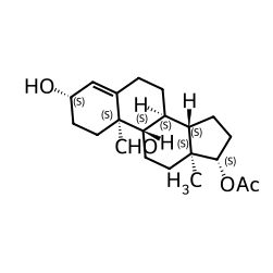 CC(=O)O[C@H]1CC[C@H]2[C@@H]3CCC4=C[C@@H](O)CC[C@]4(C=O)[C@H]3CC[C@]12C